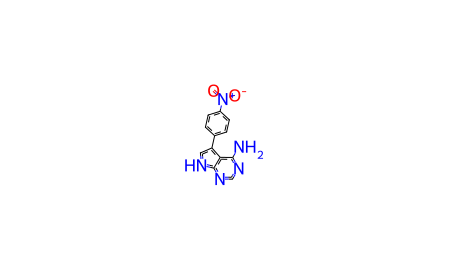 Nc1ncnc2[nH]cc(-c3ccc([N+](=O)[O-])cc3)c12